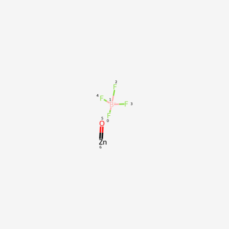 F[B-](F)(F)F.[O]=[Zn]